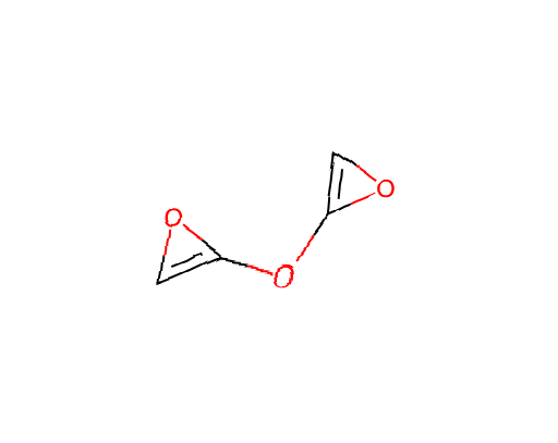 C1=C(OC2=CO2)O1